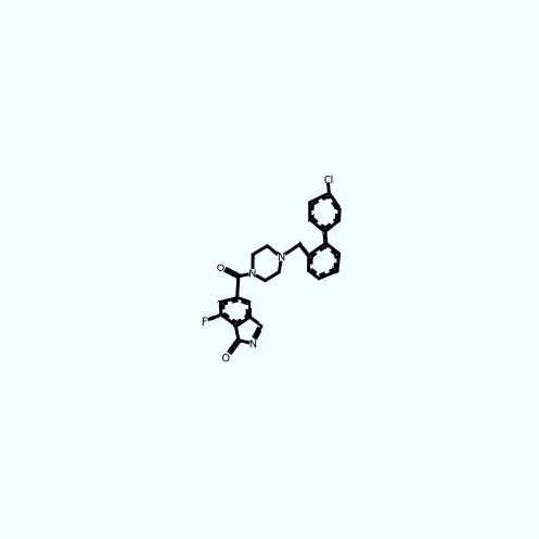 O=C1N=Cc2cc(C(=O)N3CCN(Cc4ccccc4-c4ccc(Cl)cc4)CC3)cc(F)c21